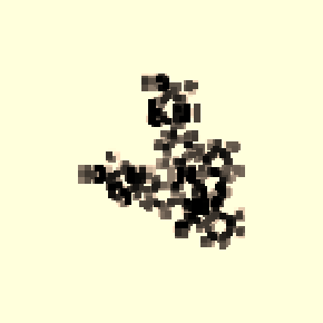 C[C@H](NC(=O)c1ccc(NC(=O)c2ccccc2SSc2ccccc2C(=O)Nc2ccc(C(=O)N[C@@H](C)C(=O)O)cc2)cc1)C(=O)O